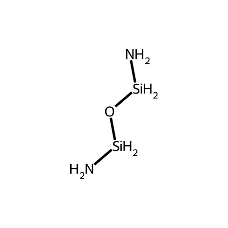 N[SiH2]O[SiH2]N